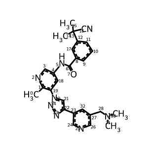 Cc1ncc(NC(=O)c2cccc(C(C)(C)C#N)c2)cc1-n1cc(-c2cncc(CN(C)C)c2)nn1